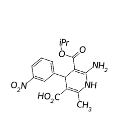 CC1=C(C(=O)O)C(c2cccc([N+](=O)[O-])c2)C(C(=O)OC(C)C)=C(N)N1